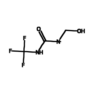 O=C([N]CO)NC(F)(F)F